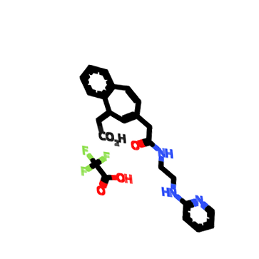 O=C(O)C(F)(F)F.O=C(O)CC1C=C(CC(=O)NCCNc2ccccn2)C=Cc2ccccc21